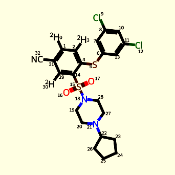 [2H]c1c([2H])c(Sc2cc(Cl)cc(Cl)c2)c(S(=O)(=O)N2CCN(C3CCCC3)CC2)c([2H])c1C#N